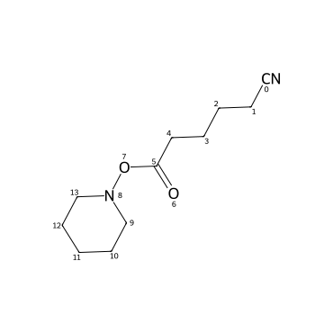 N#CCCCCC(=O)ON1CCCCC1